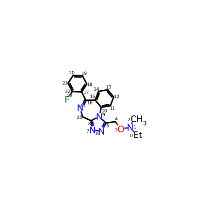 CCN(C)OCc1nnc2n1-c1ccccc1C(c1ccccc1F)=NC2